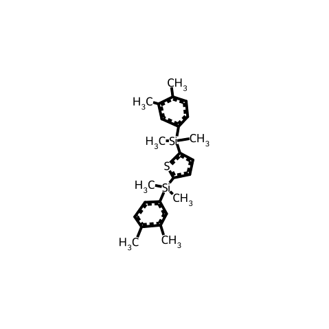 Cc1ccc([Si](C)(C)c2ccc([Si](C)(C)c3ccc(C)c(C)c3)s2)cc1C